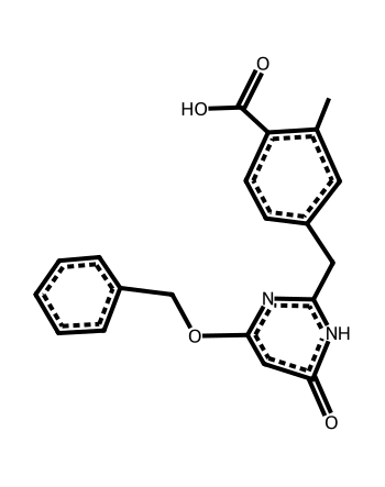 Cc1cc(Cc2nc(OCc3ccccc3)cc(=O)[nH]2)ccc1C(=O)O